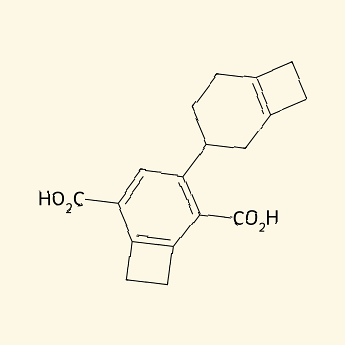 O=C(O)c1cc(C2CCC3=C(CC3)C2)c(C(=O)O)c2c1CC2